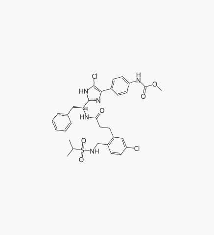 COC(=O)Nc1ccc(-c2nc([C@H](Cc3ccccc3)NC(=O)CCc3cc(Cl)ccc3CNS(=O)(=O)C(C)C)[nH]c2Cl)cc1